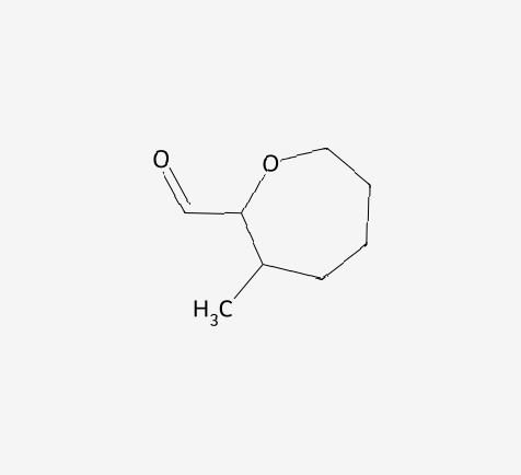 CC1CCCCOC1C=O